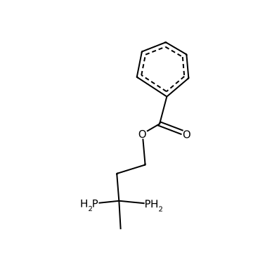 CC(P)(P)CCOC(=O)c1ccccc1